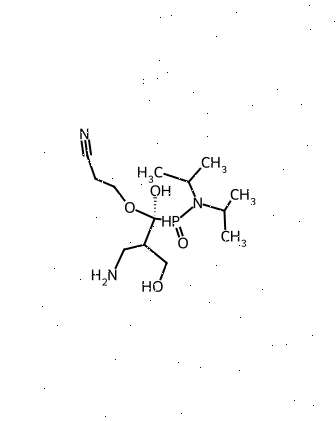 CC(C)N(C(C)C)[PH](=O)[C@](O)(OCCC#N)C(CN)CO